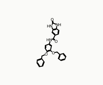 O=C(Nc1ccc(OCc2ccccc2)c(OCc2ccccc2)c1)c1ccc2[nH]c(=O)[nH]c2c1